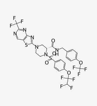 O=C(NCc1ccc(OC(F)(F)F)cc1)[C@H]1CN(c2nc3nc(C(F)(F)F)ncc3s2)CCN1S(=O)(=O)c1ccc(OC(F)(F)C(F)F)cc1